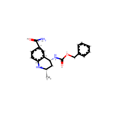 C[C@H]1C[C@@H](NC(=O)OCc2ccccc2)c2cc(C(N)=O)ccc2N1